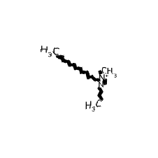 CCCCCCCCCCCCCCc1n(CCCCC)cc[n+]1CC